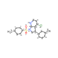 Cc1ccc(S(=O)(=O)n2cc(-c3cccc(C#N)c3)c3c(Cl)ccnc32)cc1